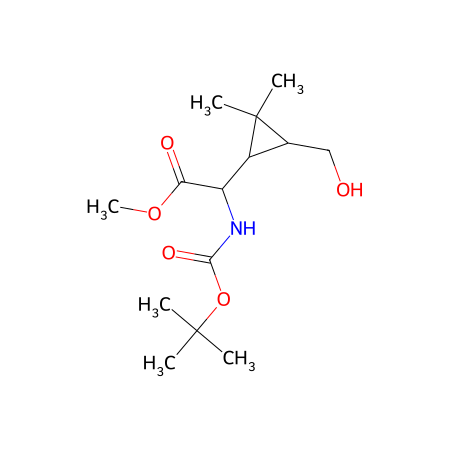 COC(=O)C(NC(=O)OC(C)(C)C)C1C(CO)C1(C)C